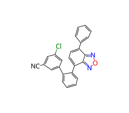 N#Cc1cc(Cl)cc(-c2ccccc2-c2ccc(-c3ccccc3)c3nonc23)c1